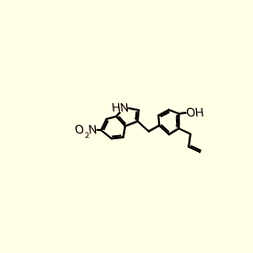 C=CCc1cc(Cc2c[nH]c3cc([N+](=O)[O-])ccc23)ccc1O